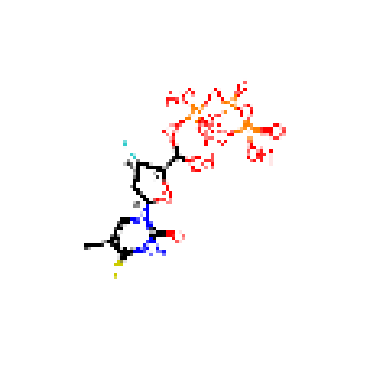 Cc1cn([C@H]2C[C@H](F)[C@@H](C(O)OP(=O)(O)OP(=O)(O)OP(=O)(O)O)O2)c(=O)[nH]c1=S